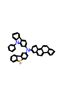 c1ccc(-n2c3ccccc3c3ccc(N(c4ccc5c(ccc6c7ccccc7ccc56)c4)c4ccc5sc6ccccc6c5c4)cc32)cc1